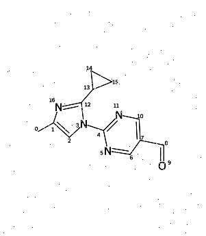 Cc1cn(-c2ncc(C=O)cn2)c(C2CC2)n1